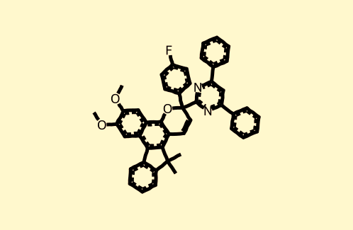 COc1cc2c3c(c4c(c2cc1OC)-c1ccccc1C4(C)C)C=CC(c1ccc(F)cc1)(c1nc(-c2ccccc2)cc(-c2ccccc2)n1)O3